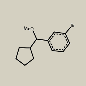 COC(c1cccc(Br)c1)C1CCCC1